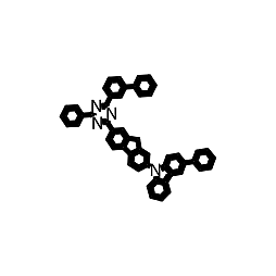 c1ccc(-c2cccc(-c3nc(-c4ccccc4)nc(-c4ccc5c(c4)Cc4cc(-n6c7ccccc7c7cc(-c8ccccc8)ccc76)ccc4-5)n3)c2)cc1